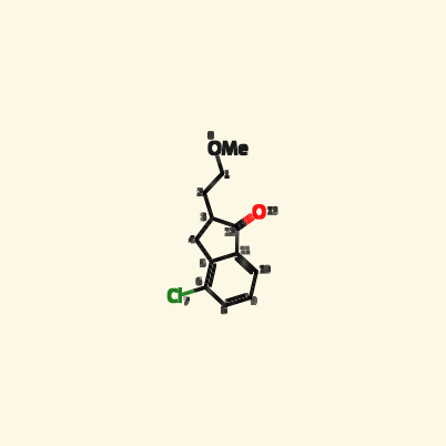 COCCC1Cc2c(Cl)cccc2C1=O